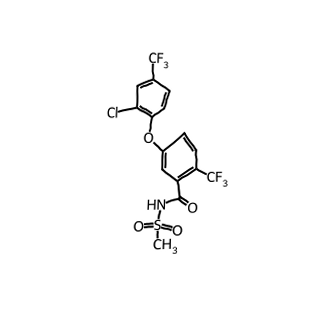 CS(=O)(=O)NC(=O)c1cc(Oc2ccc(C(F)(F)F)cc2Cl)ccc1C(F)(F)F